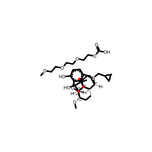 COCCOCCOCCOC(=O)O.CO[C@@]12CC[C@@]3(C[C@@H]1[C@](C)(O)C(C)(C)C)[C@H]1Cc4ccc(O)c5c4[C@@]3(CCN1CC1CC1)[C@H]2O5